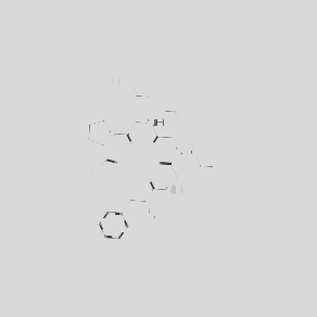 CC(C)C[C@H](NC(=O)[C@H](CC(C)C)NC(=O)[C@@H](N)Cc1ccccc1)C(=O)N[C@@H](CC(C)C)C(=O)N1CCC[C@H]1C(=O)O